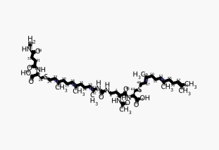 CC(=O)NC(CCNC(=O)N/C(C)=C/CC/C(C)=C/CC/C(C)=C/CSC[C@H](NC(=O)CCC(=O)NN)C(=O)O)C(=O)N[C@@H](CSC/C=C(\C)CC/C=C(\C)CCC=C(C)C)C(=O)O